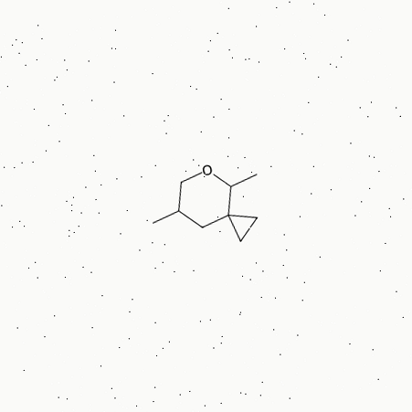 CC1COC(C)C2(CC2)C1